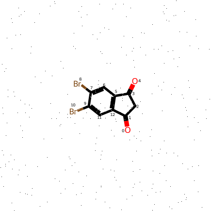 O=C1CC(=O)c2cc(Br)c(Br)cc21